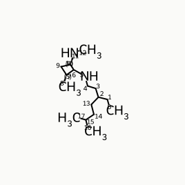 CCC(CCNC1[C@@H](C)C[C@H]1NC)CCC(C)C